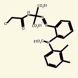 CCOC(=O)N(c1ccccc1/N=N/C(NC(=O)CCl)(C(=O)OCC)C(=O)OCC)c1cccc(C)c1C